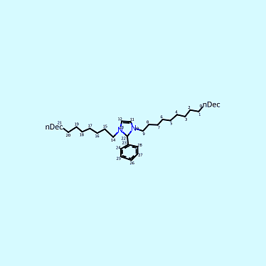 CCCCCCCCCCCCCCCCCCCN1C=CN(CCCCCCCCCCCCCCCCC)C1c1ccccc1